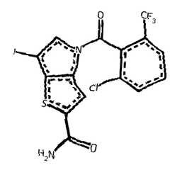 NC(=O)c1cc2c(s1)c(I)cn2C(=O)c1c(Cl)cccc1C(F)(F)F